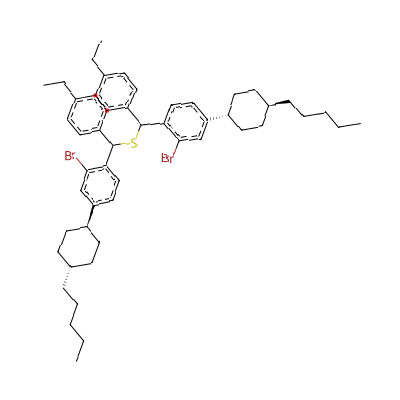 CCCCC[C@H]1CC[C@H](c2ccc(C(SC(c3ccc(CC)cc3)c3ccc([C@H]4CC[C@H](CCCCC)CC4)cc3Br)c3ccc(CC)cc3)c(Br)c2)CC1